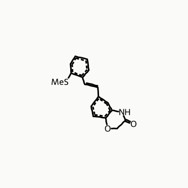 CSc1ccccc1/C=C/c1ccc2c(c1)NC(=O)CO2